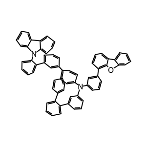 c1ccc(-c2ccccc2-c2cccc(N(c3ccc(-c4cccc(-c5ccccc5-n5c6ccccc6c6ccccc65)c4)cc3)c3cccc(-c4cccc5c4oc4ccccc45)c3)c2)cc1